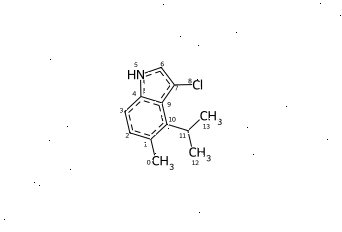 Cc1ccc2[nH]cc(Cl)c2c1C(C)C